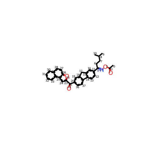 CC(=O)O/N=C(\CCC(C)C)c1ccc2c(c1)Cc1cc(C(=O)c3cc4c(ccc5ccccc54)o3)ccc1-2